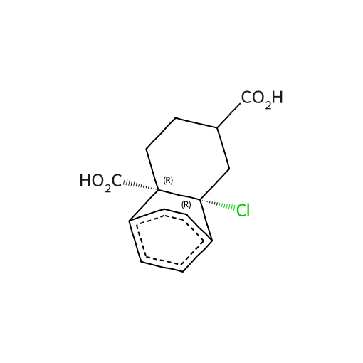 O=C(O)C1CC[C@]2(C(=O)O)c3ccc(cc3)[C@]2(Cl)C1